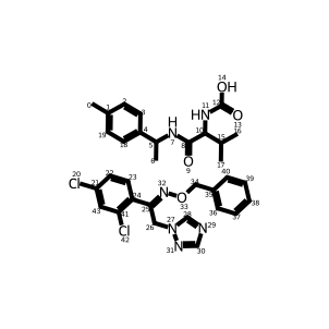 Cc1ccc(C(C)NC(=O)C(NC(=O)O)C(C)C)cc1.Clc1ccc(C(Cn2cncn2)=NOCc2ccccc2)c(Cl)c1